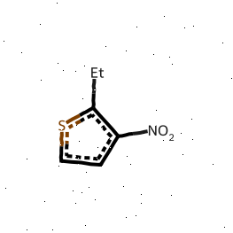 CCc1sccc1[N+](=O)[O-]